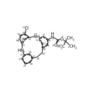 CC(C)(C)OC(=O)Nc1cc2cc(c1)Nc1nc(ncc1Cl)Nc1cccc(c1)CC2